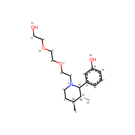 C[C@H]1CCN(CCOCCOCCO)C(c2cccc(O)c2)[C@@H]1C